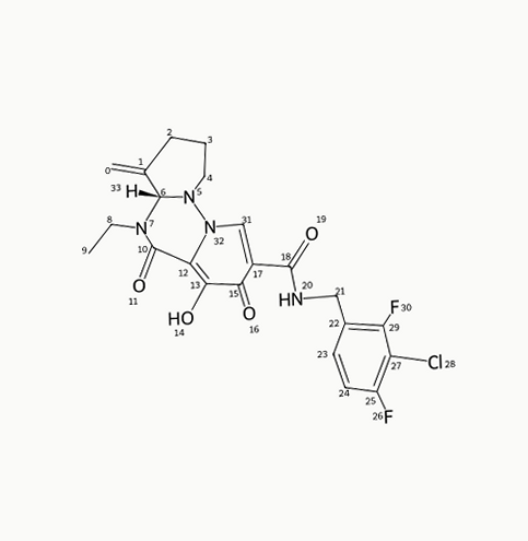 C=C1CCCN2[C@@H]1N(CC)C(=O)c1c(O)c(=O)c(C(=O)NCc3ccc(F)c(Cl)c3F)cn12